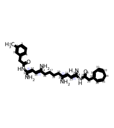 Cc1cccc(CC(=O)N/C(N)=C/C=C(\N)CCCC/C(N)=C/C=C(\N)NC(=O)CC2=CC#CCC=C2)c1